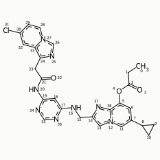 CCC(=O)Oc1cc(C2CC2)cn2cc(CNc3cc(NC(=O)Cc4ncn5ccc(Cl)cc45)ncn3)nc12